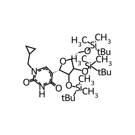 CC(C)(C)[Si](C)(C)OC[C@H]1O[C@@H](c2cn(CC3CC3)c(=O)[nH]c2=O)C(O[Si](C)(C)C(C)(C)C)C1O[Si](C)(C)C(C)(C)C